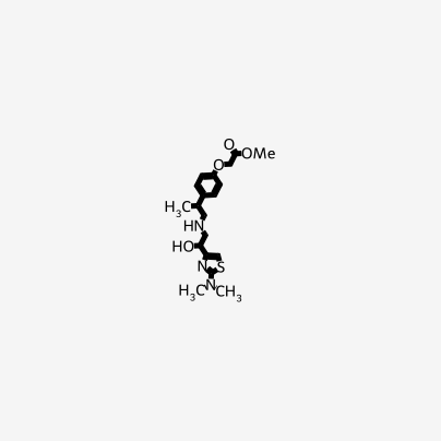 COC(=O)COc1ccc(C(C)CNCC(O)c2csc(N(C)C)n2)cc1